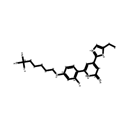 CCc1cnc(-c2cc(-c3ccc(OCCCCCC(F)(F)F)cc3F)[nH]c(=O)c2)s1